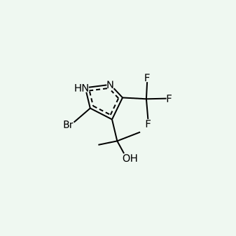 CC(C)(O)c1c(C(F)(F)F)n[nH]c1Br